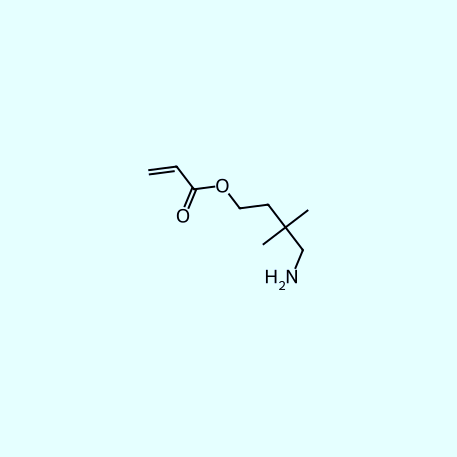 C=CC(=O)OCCC(C)(C)CN